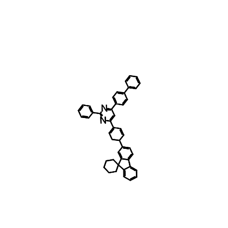 C1=CC(c2ccc3c(c2)C2(CCCCC2)c2ccccc2-3)CC=C1c1cc(-c2ccc(-c3ccccc3)cc2)nc(-c2ccccc2)n1